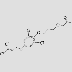 CC(=O)COCCCOc1c(Cl)cc(OCC=C(Cl)Cl)cc1Cl